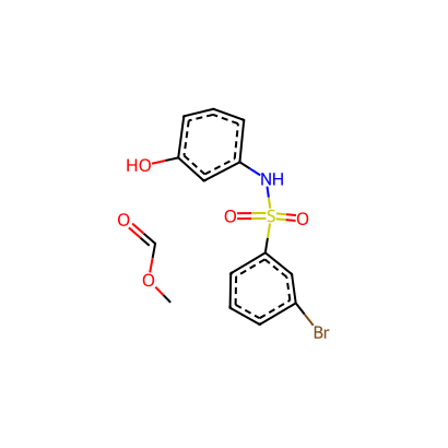 COC=O.O=S(=O)(Nc1cccc(O)c1)c1cccc(Br)c1